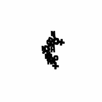 COc1c(C#N)cc(C(C)(C)C)cc1NC(=O)c1cnc(C)c(-n2cc(C(=O)NCC(C)(C)C)nn2)c1